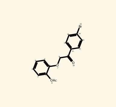 CC(=O)Oc1ccccc1OCC(=O)c1ccc(Br)cc1